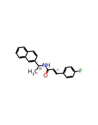 C[C@H](NC(=O)/C=C/c1ccc(F)cc1)c1ccc2ccccc2c1